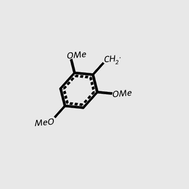 [CH2]c1c(OC)cc(OC)cc1OC